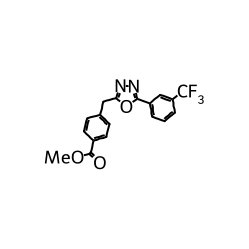 COC(=O)c1ccc(Cc2nnc(-c3cccc(C(F)(F)F)c3)o2)cc1